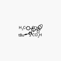 CC1CCC(C(=O)N(CC(C)C(=O)N2CCOCC2)c2cc(C#CC(C)(C)C)sc2C(=O)O)CC1